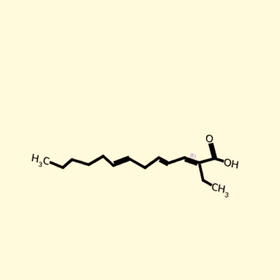 CCCCCC=CCC=C/C=C(\CC)C(=O)O